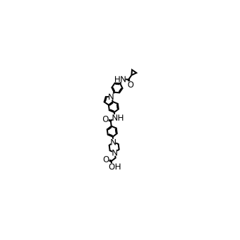 O=C(O)CN1CCN(c2ccc(C(=O)Nc3ccc4c(ccn4-c4ccc(NC(=O)C5CC5)cc4)c3)cc2)CC1